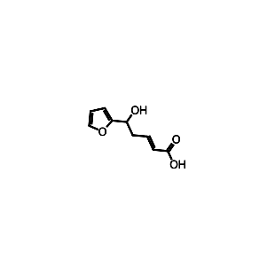 O=C(O)C=CCC(O)c1ccco1